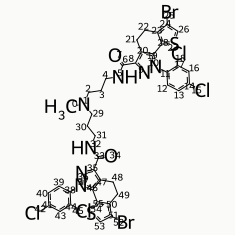 CN(CCCNC(=O)c1nn(-c2ccc(Cl)cc2Cl)c2c1CCc1c(Br)csc1-2)CCCNC(=O)c1nn(-c2ccc(Cl)cc2Cl)c2c1CCc1c(Br)csc1-2